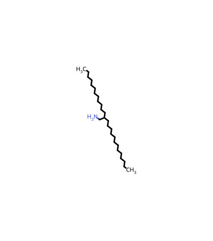 CCCCCCCCCCCCCC(CN)CCCCCCCCCCCC